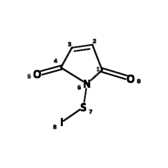 O=C1C=CC(=O)N1SI